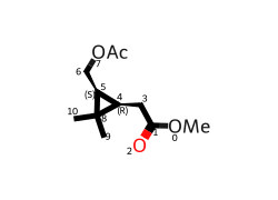 COC(=O)C[C@@H]1[C@H](COC(C)=O)C1(C)C